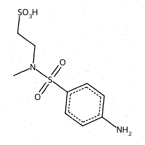 CN(CCS(=O)(=O)O)S(=O)(=O)c1ccc(N)cc1